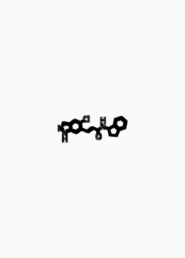 O=C(/C=C/c1cc2[nH]ncc2cc1Cl)NC1CCc2ccccc21